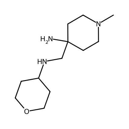 CN1CCC(N)(CNC2CCOCC2)CC1